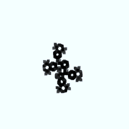 CC1(C)CCC(C)(C)c2cc(N3c4cc5c(cc4B4c6oc7cc8c(cc7c6N(c6ccc7c(c6)C(C)(C)CCC7(C)C)c6cccc3c64)C(C)(C)CCC8(C)C)C(C)(C)CCC5(C)C)ccc21